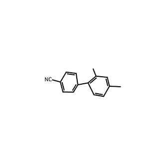 Cc1ccc(-c2ccc(C#N)cc2)c(C)c1